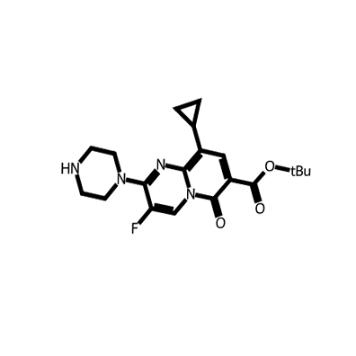 CC(C)(C)OC(=O)c1cc(C2CC2)c2nc(N3CCNCC3)c(F)cn2c1=O